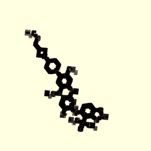 COCC1CN(C2CCN(c3cc(OC)c(Nc4ncc(Br)c(Nc5ccc6c(c5P(C)(C)=O)ONO6)n4)cc3C)CC2)C1